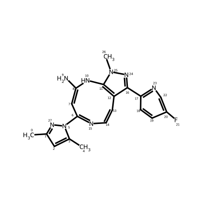 Cc1cc(C)n(-c2cc(N)[nH]c3c(ccn2)c(-c2ccc(F)cn2)nn3C)n1